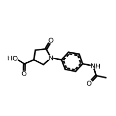 CC(=O)Nc1ccc(N2CC(C(=O)O)CC2=O)cc1